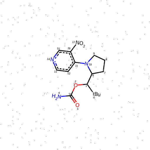 CC(C)(C)C(OC(N)=O)C1CCCN1c1ccncc1[N+](=O)[O-]